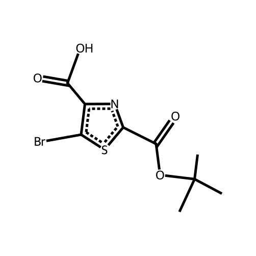 CC(C)(C)OC(=O)c1nc(C(=O)O)c(Br)s1